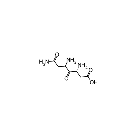 NC(=O)CC(N)C(=O)[C@H](N)CC(=O)O